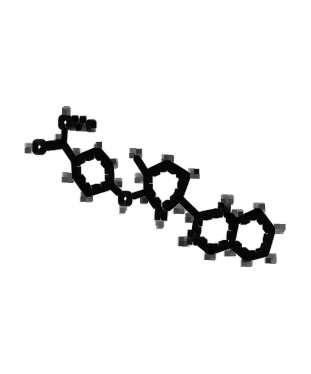 COC(=O)c1ccc(Oc2nc(-c3ncc4ccccc4n3)ccc2C)cc1